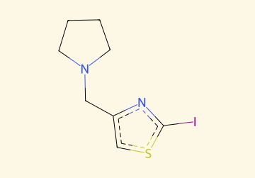 Ic1nc(CN2CCCC2)cs1